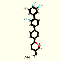 COCC1CCC(C2CCC(c3ccc(-c4cc(F)c(F)c(F)c4)c(F)c3)CC2)OC1